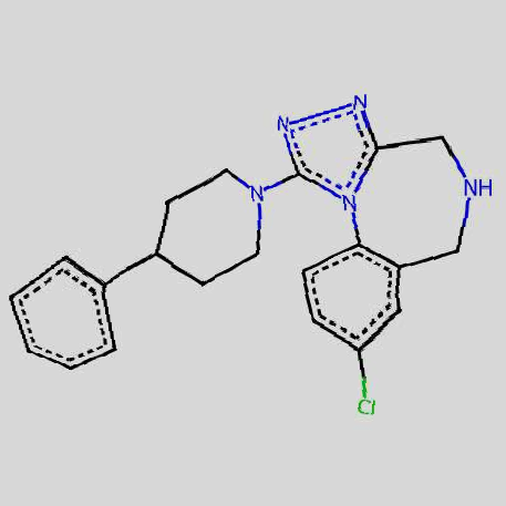 Clc1ccc2c(c1)CNCc1nnc(N3CCC(c4ccccc4)CC3)n1-2